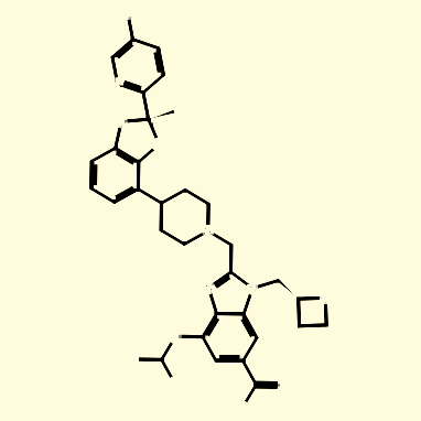 C[C@]1(c2ccc(Cl)cn2)Oc2cccc(C3CCN(Cc4nc5c(OC(F)F)cc(C(=O)O)cc5n4C[C@@H]4CCO4)CC3)c2O1